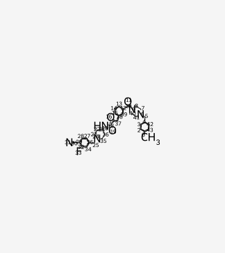 Cc1ccc(CN2CCN(C(=O)c3ccc4oc(C(=O)NC5CCN(Cc6ccc(C#N)c(F)c6)CC5)cc4c3)CC2)cc1